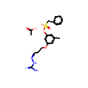 CC(=O)O.Cc1cc(OCC/C=N\NC(=N)N)cc(OS(=O)(=O)Cc2ccccc2)c1